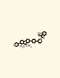 C=Nc1c(N2C=C(c3ccc(-c4ccc5c(c4)C(C)(C)c4cc(-c6ccncc6)ccc4-5)cc3)C=CC2)sc2ccccc12